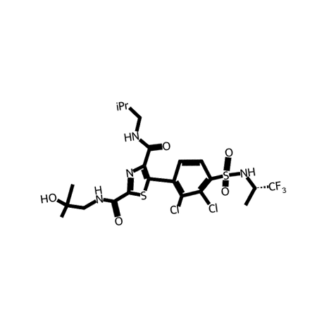 CC(C)CNC(=O)c1nc(C(=O)NCC(C)(C)O)sc1-c1ccc(S(=O)(=O)N[C@@H](C)C(F)(F)F)c(Cl)c1Cl